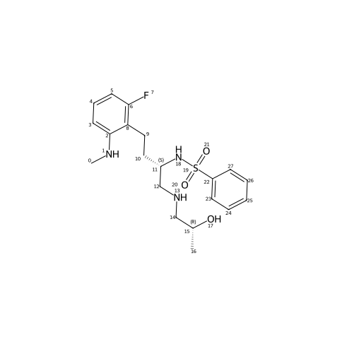 CNc1cccc(F)c1CC[C@@H](CNC[C@@H](C)O)NS(=O)(=O)c1ccccc1